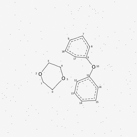 C1COCCO1.c1ccc(Oc2ccccc2)cc1